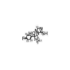 C[Si](C)(C)CC(O)(Cn1ncnc1S)c1ccc(F)cc1